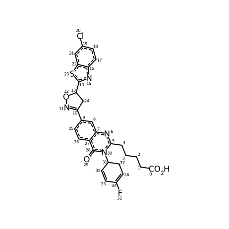 O=C(O)CCCCc1nc2cc(C3=NOC(c4nc5ccc(Cl)cc5s4)C3)ccc2c(=O)n1C1C=CC(F)=CC1